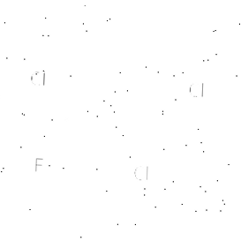 F[C](Cl)C(Cl)=CCl